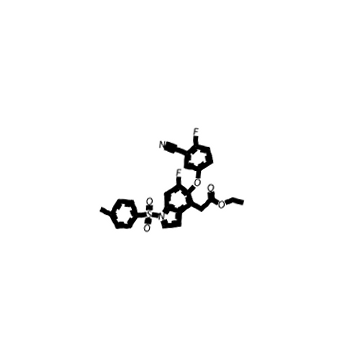 CCOC(=O)Cc1c(Oc2ccc(F)c(C#N)c2)c(F)cc2c1ccn2S(=O)(=O)c1ccc(C)cc1